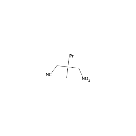 CC(C)C(C)(CC#N)C[N+](=O)[O-]